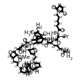 C=C1C[C@H](CC[C@]23CC[C@H](O2)C2O[C@H]4CC[C@H](CC(=O)C[C@H]5CO[C@H](C[C@H](O)CNC(=O)OCc6ccc(NC(=O)[C@H](CCCNC(N)=O)NC(=O)[C@@H](NC(=O)CCCCCN7C(=O)C=CC7=O)C(C)C)cc6)[C@@H]5OC)O[C@@H]4[C@H](O3)[C@@H]2C)O[C@H]1CC[C@H]1C[C@@H](C)C(=C)[C@@H](C)O1